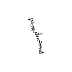 N=Cc1cc(OCC2CCC(C(=O)Oc3ccc(OCCOCCO)cc3)CC2)ccc1OCC1CCC(C(=O)Oc2ccc(OCCOCCO)cc2)CC1